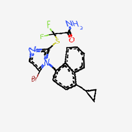 NC(=O)C(F)(F)Sc1ncc(Br)n1-c1ccc(C2CC2)c2ccccc12